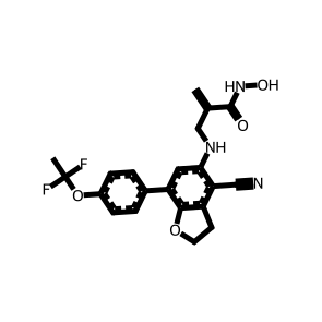 C=C(CNc1cc(-c2ccc(OC(C)(F)F)cc2)c2c(c1C#N)CCO2)C(=O)NO